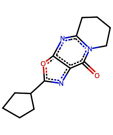 O=c1c2nc(C3CCCC3)oc2nc2n1CCCC2